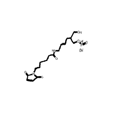 O=C(CCCCCN1C(=O)C=CC1=O)NCCCCC(CO)CO[PH](=O)O